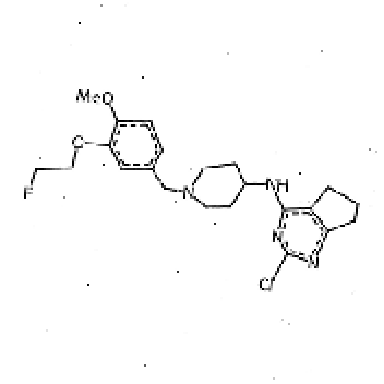 COc1ccc(CN2CCC(Nc3nc(Cl)nc4c3CCC4)CC2)cc1OCCF